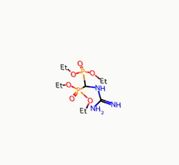 CCOP(=O)(OCC)C(NC(=N)N)P(=O)(OCC)OCC